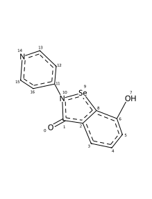 O=c1c2cccc(O)c2[se]n1-c1ccncc1